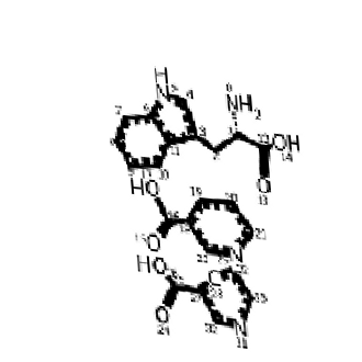 N[C@@H](Cc1c[nH]c2ccccc12)C(=O)O.O=C(O)c1cccnc1.O=C(O)c1cccnc1